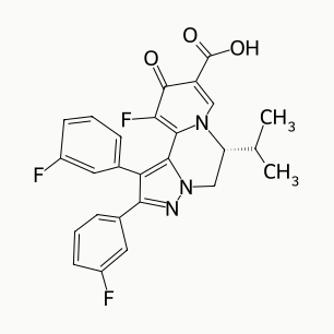 CC(C)[C@@H]1Cn2nc(-c3cccc(F)c3)c(-c3cccc(F)c3)c2-c2c(F)c(=O)c(C(=O)O)cn21